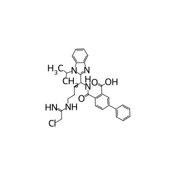 CC(C)n1c([C@H](CCCNC(=N)CCl)NC(=O)c2ccc(-c3ccccc3)cc2C(=O)O)nc2ccccc21